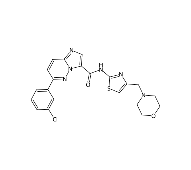 O=C(Nc1nc(CN2CCOCC2)cs1)c1cnc2ccc(-c3cccc(Cl)c3)nn12